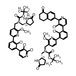 COc1nc(-c2cccc(-c3ccnc(-c4ccc5c(c4)CCCC5=O)c3Cl)c2Cl)ccc1CN(C[C@@H]1CCC(=O)N1)C(=O)OC(C)(C)C.COc1nc(-c2cccc(-c3ccnc(Cl)c3Cl)c2Cl)ccc1CN(C[C@@H]1CCC(=O)N1)C(=O)OC(C)(C)C